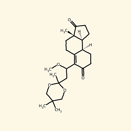 COC(CC1(C)OCC(C)(C)CO1)C1=C2CC[C@]3(C)C(=O)CC[C@H]3[C@H]2CCC1=O